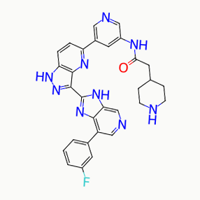 O=C(CC1CCNCC1)Nc1cncc(-c2ccc3[nH]nc(-c4nc5c(-c6cccc(F)c6)cncc5[nH]4)c3n2)c1